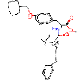 COC(=O)C(Cc1ccc(OCC2CCCCC2)cc1)NC(=O)[C@@H](CCCc1ccccc1)C(C)(C)C